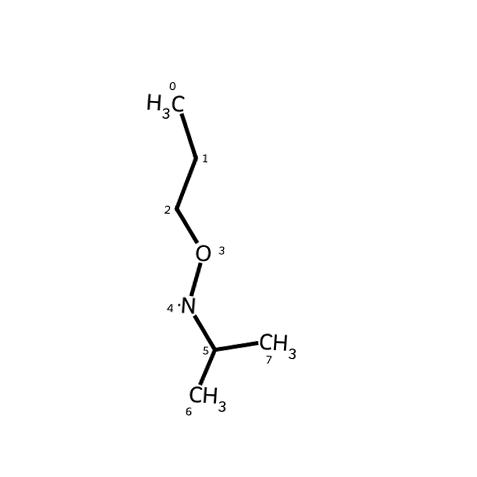 CCCO[N]C(C)C